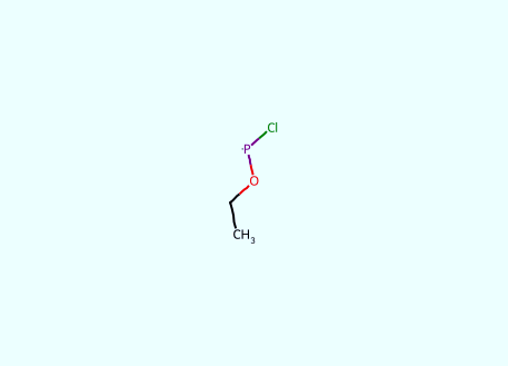 CCO[P]Cl